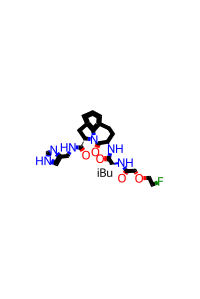 CC[C@H](C)[C@H](NC(=O)COCCF)C(=O)N[C@H]1CCc2cccc3c2N(C1=O)[C@H](C(=O)NCc1c[nH]cn1)C3